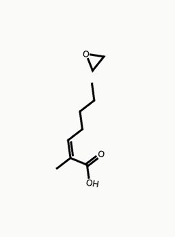 C1CO1.CCCCC=C(C)C(=O)O